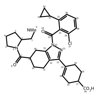 CNCC1CCCN1C(=O)C1CCc2c(C3=CCC(C(=O)O)CC3)nn(C(=O)c3c(Cl)cccc3C3CC3)c2C1